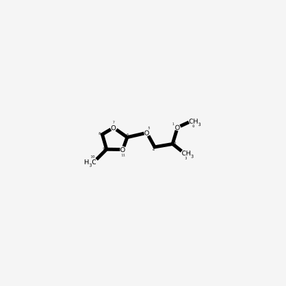 COC(C)COC1OCC(C)O1